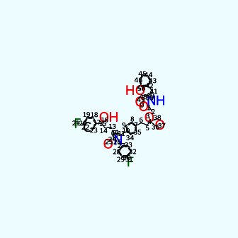 O=C(COC1(CCc2ccc(C3[C@@H](CCC(O)c4ccc(F)cc4)C(=O)N3c3ccc(F)cc3)cc2)COC1)NC(Cc1ccccc1)C(=O)O